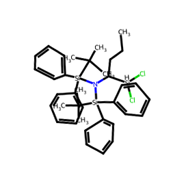 CCCC(N([Si](c1ccccc1)(c1ccccc1)C(C)(C)C)[Si](c1ccccc1)(c1ccccc1)C(C)(C)C)[SiH](Cl)Cl